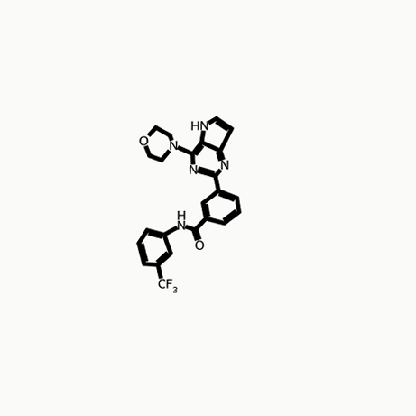 O=C(Nc1cccc(C(F)(F)F)c1)c1cccc(-c2nc(N3CCOCC3)c3[nH]ccc3n2)c1